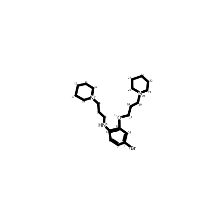 Brc1ccc(NCCCN2CCCCC2)c(OCCCN2CCCCC2)c1